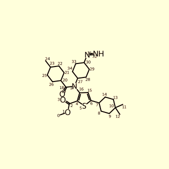 COC(=O)c1sc(C2CCC(C)(C)CC2)cc1N(C(=O)C1CCC(C)CC1)C1CCC(N=N)CC1